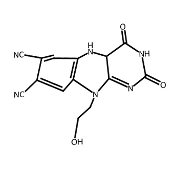 N#Cc1cc2c(cc1C#N)N(CCO)C1=NC(=O)NC(=O)C1N2